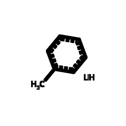 Cc1ccccc1.[LiH]